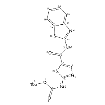 CC(C)(C)OC(=O)Nc1ncc(C(=O)Nc2nc3ccccc3s2)s1